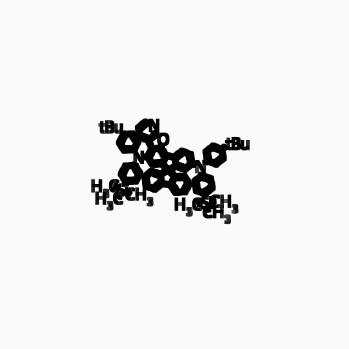 CC(C)(C)c1ccc(N(c2ccc([Si](C)(C)C)cc2)c2ccc3c(c2)C2(c4ccccc4-c4ccccc42)c2cc(N(c4ccc(C(C)(C)C)cc4)c4ccc([Si](C)(C)C)cc4)c4c(oc5ncccc54)c2-3)cc1